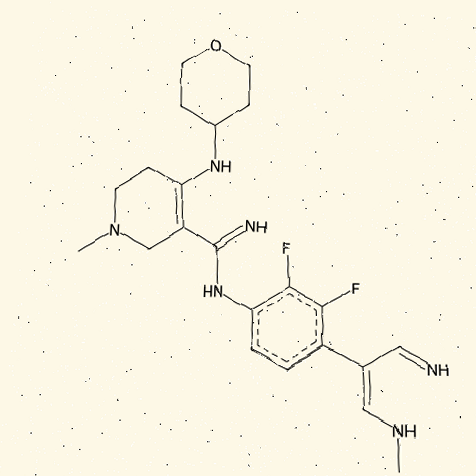 CN/C=C(\C=N)c1ccc(NC(=N)C2=C(NC3CCOCC3)CCN(C)C2)c(F)c1F